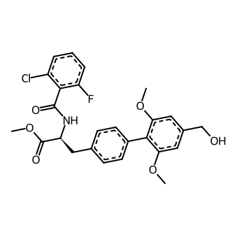 COC(=O)[C@H](Cc1ccc(-c2c(OC)cc(CO)cc2OC)cc1)NC(=O)c1c(F)cccc1Cl